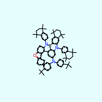 CC(C)(C)c1ccc(N(c2ccc(C(C)(C)C)cc2)c2cc3c4c(c2)N(c2ccc5c(c2)C(C)(C)CCC5(C)C)c2cc5c(cc2B4N(c2ccc4c(c2)C(C)(C)CCC4(C)C)c2ccc4oc6ccccc6c4c2-3)C(C)(C)CCC5(C)C)cc1